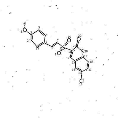 COc1ccc(C=CS(=O)(=O)c2cc3cc(Cl)ccc3sc2=O)cc1